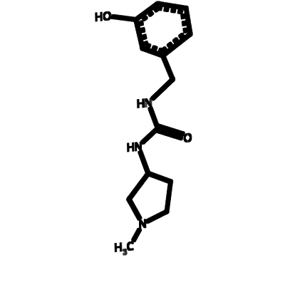 CN1CCC(NC(=O)NCc2cccc(O)c2)C1